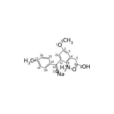 COc1cc(CC(=O)O)c(N)c(C(=S)c2ccc(C)cc2)c1.[Na]